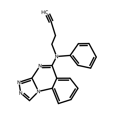 C#CCCN(c1ccccc1)c1nc2nncn2c2ccccc12